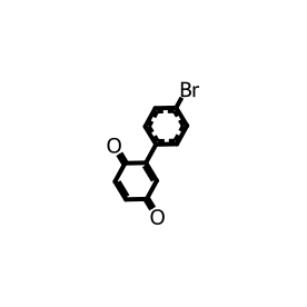 O=C1C=CC(=O)C(c2ccc(Br)cc2)=C1